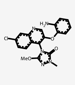 COc1nn(C)c(=O)n1-c1c(Oc2ccccc2N)cnc2cc(Cl)ccc12